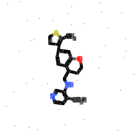 Cc1sccc1-c1ccc2c(c1)OCCC2CNc1cnccc1C(=O)O